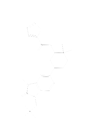 Cn1c(=O)n(CC(C)(C)C)c2ccc(C3CCC(C)(C)C(NC(=O)c4ccns4)C3)nc21